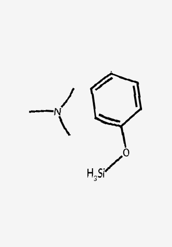 CN(C)C.[SiH3]Oc1cc[c]cc1